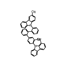 N#Cc1ccc2c(c1)c1ccccc1n2-c1ccccc1-c1ccccc1-c1ccc(-n2c3ccccc3c3cccc(C#N)c32)c(C#N)c1